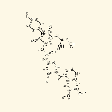 COc1cc2nccc(Oc3ccc(NC(=O)Oc4cn(C[C@H](O)CO)c(=O)n(-c5ccc(F)cc5)c4=O)cc3F)c2cc1OC